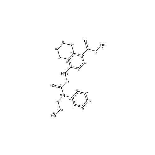 O=C(CO)c1ccc(NCC(=O)N(CCO)c2ccccc2)c2c1CCCC2